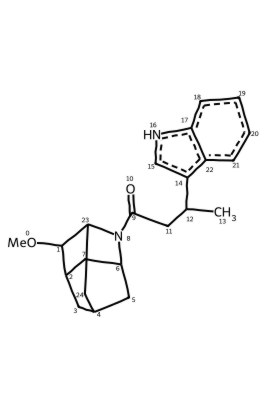 COC1C2CC3CC(C2)N(C(=O)CC(C)c2c[nH]c4ccccc24)C1C3